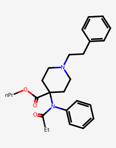 CCCOC(=O)C1(N(C(=O)CC)c2ccccc2)CCN(CCc2ccccc2)CC1